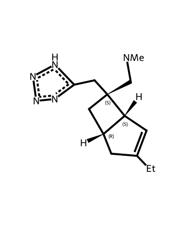 CCC1=C[C@@H]2[C@H](C1)C[C@]2(CNC)Cc1nnn[nH]1